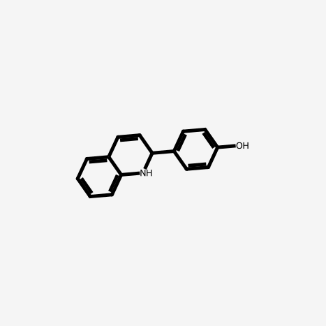 Oc1ccc(C2C=Cc3ccccc3N2)cc1